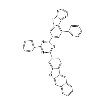 c1ccc(-c2nc(-c3ccc4c(c3)oc3cc5ccccc5cc34)nc(-c3cc(-c4ccccc4)c4c(c3)sc3ccccc34)n2)cc1